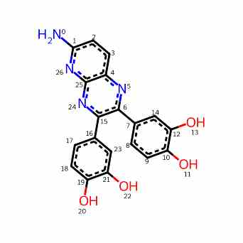 Nc1ccc2nc(-c3ccc(O)c(O)c3)c(-c3ccc(O)c(O)c3)nc2n1